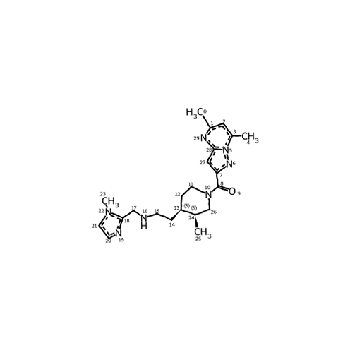 Cc1cc(C)n2nc(C(=O)N3CC[C@H](CCNCc4nccn4C)[C@H](C)C3)cc2n1